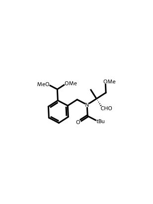 COC[C@@](C)(C=O)N(Cc1ccccc1C(OC)OC)C(=O)C(C)(C)C